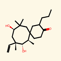 C=C[C@]1(C)C[C@@H](O)C(C)(C)CC2(CCC(=O)C(CCC)C2)[C@@H](C)[C@@H]1O